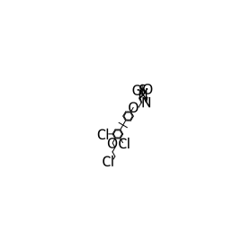 CC(C)(c1ccc(OCc2cn(S(C)(=O)=O)cn2)cc1)c1cc(Cl)c(OCCCCl)c(Cl)c1